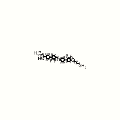 C=CCCCOc1ccc(-c2ccc(OCc3ccc(-c4ccc(C(O)CCC)cc4)c(F)c3F)cc2)c(F)c1F